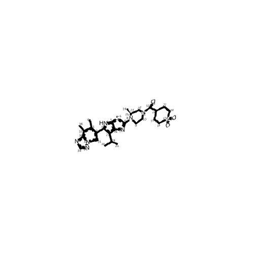 Cc1c(-c2[nH]c3sc(N4CCN(C(=O)C5CCS(=O)(=O)CC5)C[C@@H]4C)nc3c2C(C)C)cn2ncnc2c1C